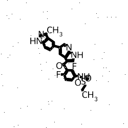 CCCS(=O)(=O)Nc1ccc(F)c(C(=O)c2c[nH]c3ncc(-c4ccc5[nH]nc(C)c5c4)cc23)c1F